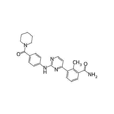 Cc1c(C(N)=O)cccc1-c1ccnc(Nc2ccc(C(=O)N3CCCCC3)cc2)n1